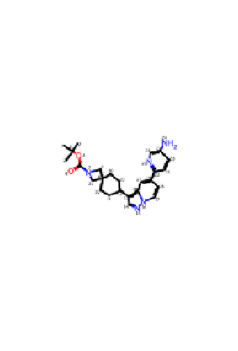 CC(C)(C)OC(=O)N1CC2(CCC(c3cnn4ccc(-c5ccc(N)cn5)cc34)CC2)C1